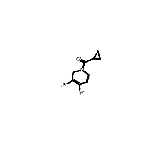 CC(C)C1=C(C(C)C)CN(C(=O)C2CC2)CC1